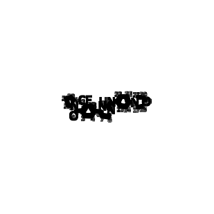 O=C(c1ccc(-c2ccnc(Nc3ccc(N4CCOCC4)cc3)n2)cc1)N1CCC[C@@H]1C(F)(F)F